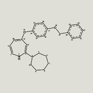 C1=CNC([C]2CCCCCC2)=CC(Oc2ccc(OCc3ccccc3)cc2)=C1